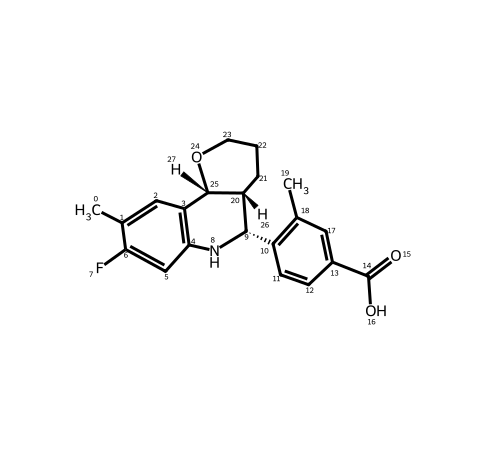 Cc1cc2c(cc1F)N[C@@H](c1ccc(C(=O)O)cc1C)[C@H]1CCCO[C@@H]21